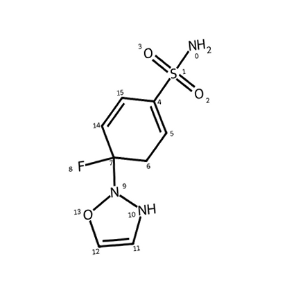 NS(=O)(=O)C1=CCC(F)(N2NC=CO2)C=C1